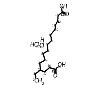 CCC(CCCCCCCCCCCC(=O)O)CCC(=O)O.Cl.Cl